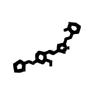 COc1cc(OCc2ccccn2)ccc1/C=C/c1cc(CCc2cccnc2C)[nH]n1